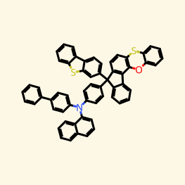 c1ccc(-c2ccc(N(c3ccc(C4(c5ccc6c(c5)sc5ccccc56)c5ccccc5-c5c4ccc4c5Oc5ccccc5S4)cc3)c3cccc4ccccc34)cc2)cc1